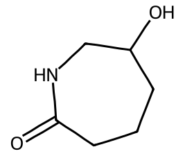 O=C1CCCC(O)CN1